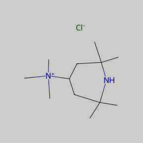 CC1(C)CC([N+](C)(C)C)CC(C)(C)N1.[Cl-]